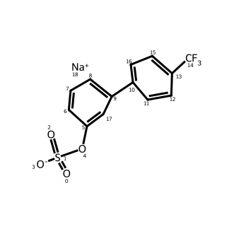 O=S(=O)([O-])Oc1cccc(-c2ccc(C(F)(F)F)cc2)c1.[Na+]